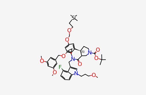 COCCCn1cc(CN(C(=O)C2CN(C(=O)OC(C)(C)C)CC[C@@H]2c2cc(OCOCC[Si](C)(C)C)cc(OCc3cc(OC)cc(OC)c3)c2)C2CC2)c2c(F)cccc21